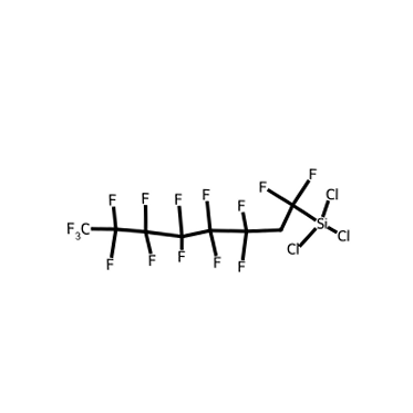 FC(F)(F)C(F)(F)C(F)(F)C(F)(F)C(F)(F)C(F)(F)CC(F)(F)[Si](Cl)(Cl)Cl